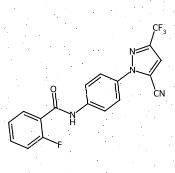 N#Cc1cc(C(F)(F)F)nn1-c1ccc(NC(=O)c2ccccc2F)cc1